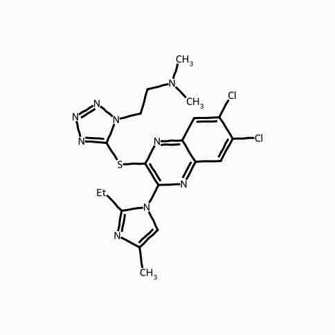 CCc1nc(C)cn1-c1nc2cc(Cl)c(Cl)cc2nc1Sc1nnnn1CCN(C)C